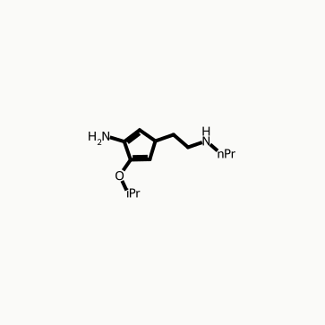 CCCNCCC1C=C(N)C(OC(C)C)=C1